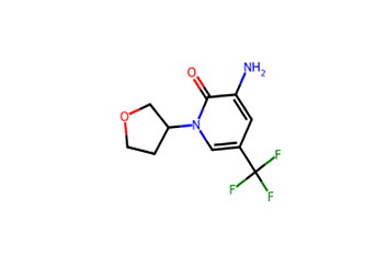 Nc1cc(C(F)(F)F)cn(C2CCOC2)c1=O